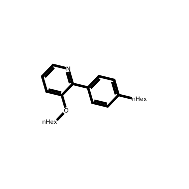 CCCCCCOc1cccnc1-c1ccc(CCCCCC)cc1